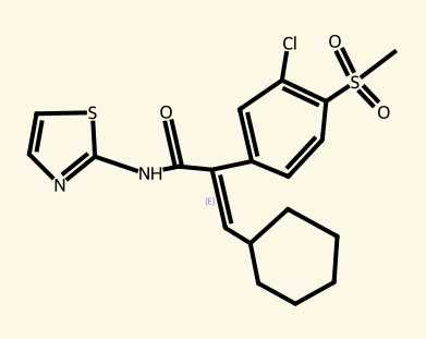 CS(=O)(=O)c1ccc(/C(=C\C2CCCCC2)C(=O)Nc2nccs2)cc1Cl